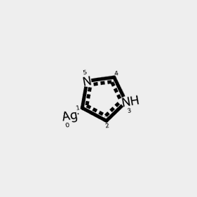 [Ag].c1c[nH]cn1